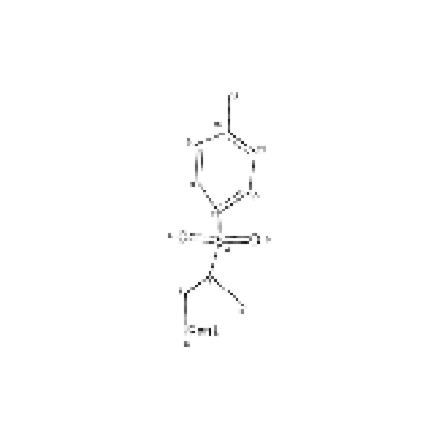 CCCC(C)CC(C)S(=O)(=O)c1ccc(C)cc1